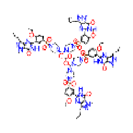 CCCc1nn(C)c2c(=O)[nH]c(-c3cc(S(=O)(=O)N4CCN(C(OC(=O)OC(N5CCN(S(=O)(=O)c6ccc(OCC)c(-c7nc8c(CCC)nn(C)c8c(=O)[nH]7)c6)CC5)N5CCN(S(=O)(=O)c6ccc(OCC)c(-c7nc8c(CCC)nn(C)c8c(=O)[nH]7)c6)CC5)N5CCN(S(=O)(=O)c6ccc(OCC)c(-c7nc8c(CCC)nn(C)c8c(=O)[nH]7)c6)CC5)CC4)ccc3OCC)nc12